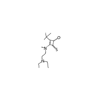 CCN(CC)CCN(C)c1c(C(C)(C)C)c(=O)c1=S